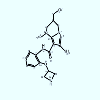 CCCN1CC(CC#N)Cn2nc(N)c(C(=O)Nc3cnccc3OC3CNC3)c21